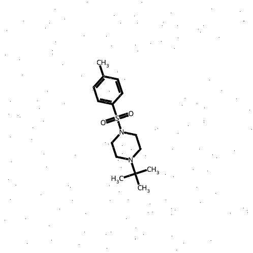 Cc1ccc(S(=O)(=O)N2CCN(C(C)(C)C)CC2)cc1